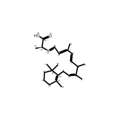 CC(C=CC(C)C(C)=CCC1=C(C)CCCC1(C)C)=CC=N[C@@H](C)C(=O)O